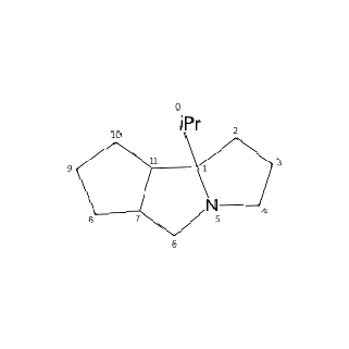 CC(C)C12CCCN1CC1CCCC12